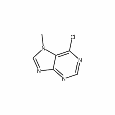 Cn1cnc2ncnc(Cl)c21